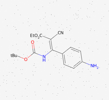 CCOC(=O)/C(C#N)=C(\NC(=O)OC(C)(C)C)c1ccc(N)cc1